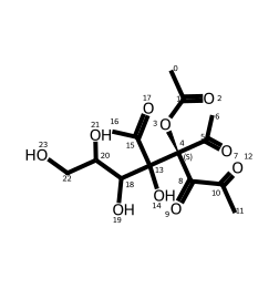 CC(=O)O[C@@](C(C)=O)(C(=O)C(C)=O)C(O)(C(C)=O)C(O)C(O)CO